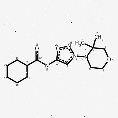 CC1(C)COCCN1[n+]1cc([N-]C(=O)C2CCCCC2)on1